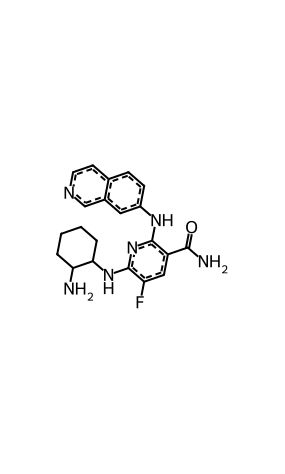 NC(=O)c1cc(F)c(NC2CCCCC2N)nc1Nc1ccc2ccncc2c1